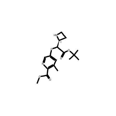 COC(=O)c1ncc(OC(C(=O)OC(C)(C)C)[C@@H]2CCN2)cc1C